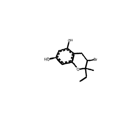 CCC1(C)Oc2cc(O)cc(O)c2CC1Br